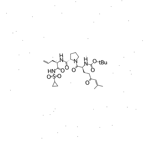 C=CC[C@@H](NC(=O)[C@@H]1CCCN1C(=O)[C@H](CCC(=O)C=C(C)C)NC(=O)OC(C)(C)C)C(=O)NS(=O)(=O)C1CC1